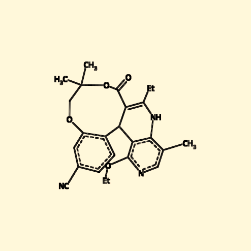 CCOc1ncc(C)c2c1C1C(=C(CC)N2)C(=O)OC(C)(C)COc2cc(C#N)ccc21